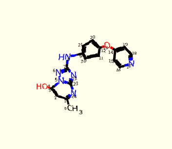 Cc1cc(O)n2nc(Nc3ccc(Oc4ccncc4)cc3)nc2n1